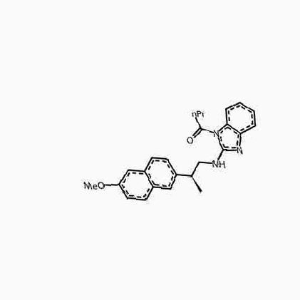 CCCC(=O)n1c(NC[C@@H](C)c2ccc3cc(OC)ccc3c2)nc2ccccc21